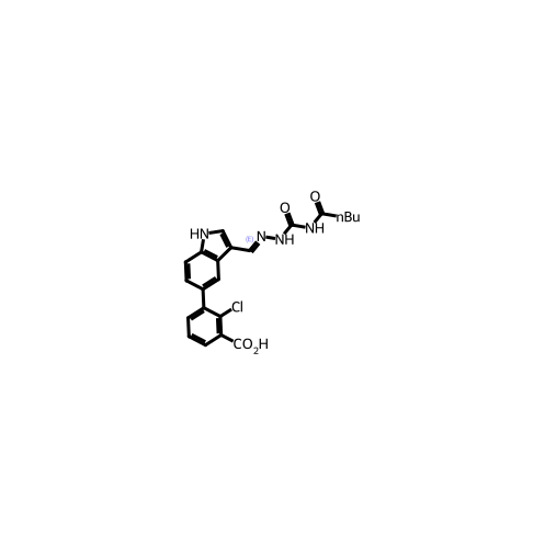 CCCCC(=O)NC(=O)N/N=C/c1c[nH]c2ccc(-c3cccc(C(=O)O)c3Cl)cc12